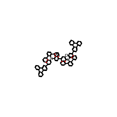 Cc1cc(-c2ccc(N(c3ccc(-c4ccc5c6ccccc6c6ccccc6c5c4)cc3)c3c(-c4ccccc4)cccc3-c3ccccc3)c(C)c2)ccc1N(c1ccc(-c2ccc3c4ccccc4c4ccccc4c3c2)cc1)c1c(-c2ccccc2)cccc1-c1ccccc1